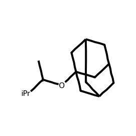 C[C](OC12CC3CC(CC(C3)C1)C2)C(C)C